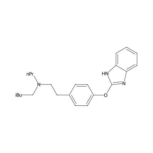 CCCN(CCc1ccc(Oc2nc3ccccc3[nH]2)cc1)CC(C)CC